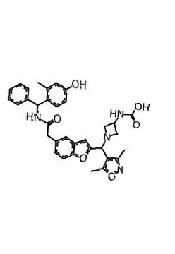 Cc1cc(O)ccc1C(NC(=O)Cc1ccc2oc(C(c3c(C)noc3C)N3CC(NC(=O)O)C3)cc2c1)c1ccccc1